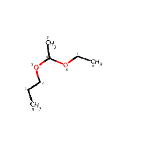 CCCO[C](C)OCC